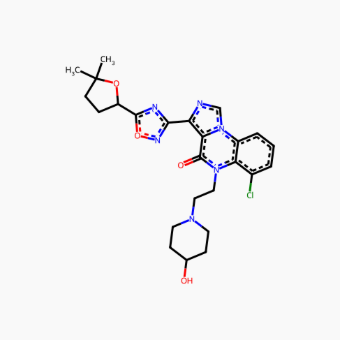 CC1(C)CCC(c2nc(-c3ncn4c3c(=O)n(CCN3CCC(O)CC3)c3c(Cl)cccc34)no2)O1